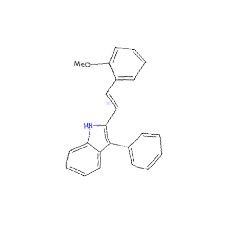 COc1ccccc1/C=C/c1[nH]c2ccccc2c1-c1ccccc1